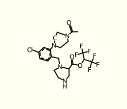 CC(=O)N1CCN(c2cc(Cl)ccc2CN2CCNCC2C(=O)OC(C(F)(F)F)C(F)(F)F)CC1